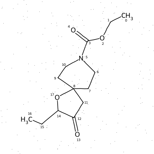 CCOC(=O)N1CCC2(CC1)CC(=O)C(CC)O2